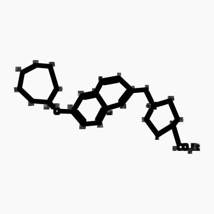 CCOC(=O)C1CCN(Cc2ccc3cc(OC4CCCCCC4)ccc3c2)CC1